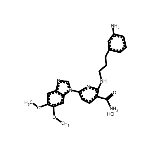 COc1cc2ncn(-c3ccc(C(N)=O)c(NCCCc4cccc(N)c4)n3)c2cc1OC.Cl